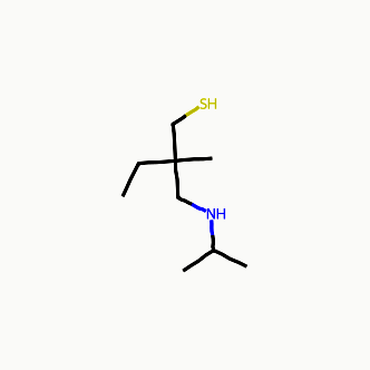 CCC(C)(CS)CNC(C)C